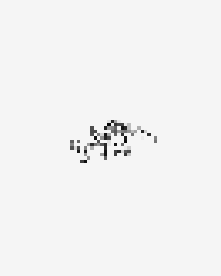 COCOc1cc([N+](=O)[O-])c(C[C@H](NC(=O)OCC2c3ccccc3-c3ccccc32)C(=O)OC(C)(C)C)cc1CO